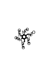 O=C=NCc1c(N=C=O)c(CN=C=O)c(N=C=O)c(N=C=O)c1N=C=O